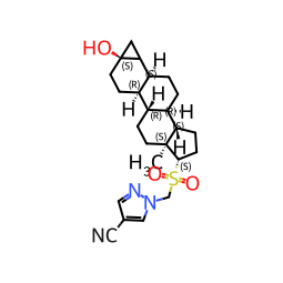 C[C@]12CC[C@@H]3[C@H]4CC[C@]5(O)CC5[C@H]4CC[C@H]3[C@@H]1CC[C@@H]2S(=O)(=O)Cn1cc(C#N)cn1